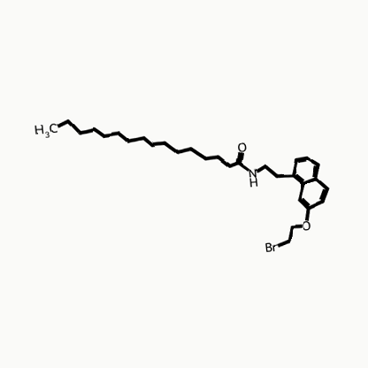 CCCCCCCCCCCCCCCC(=O)NCCc1cccc2ccc(OCCBr)cc12